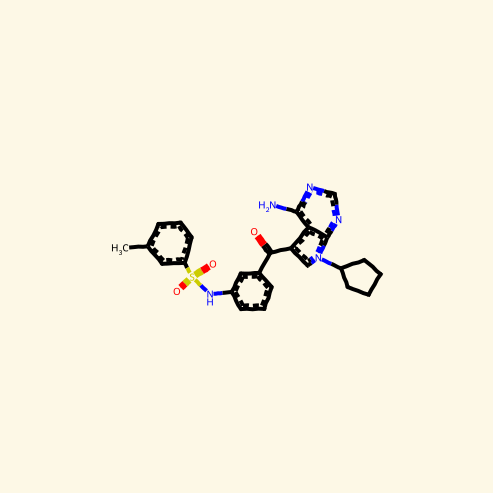 Cc1cccc(S(=O)(=O)Nc2cccc(C(=O)c3cn(C4CCCC4)c4ncnc(N)c34)c2)c1